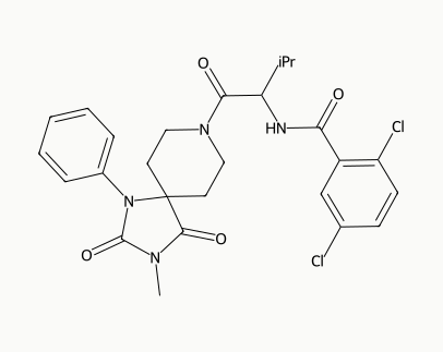 CC(C)C(NC(=O)c1cc(Cl)ccc1Cl)C(=O)N1CCC2(CC1)C(=O)N(C)C(=O)N2c1ccccc1